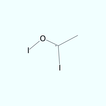 C[C](I)OI